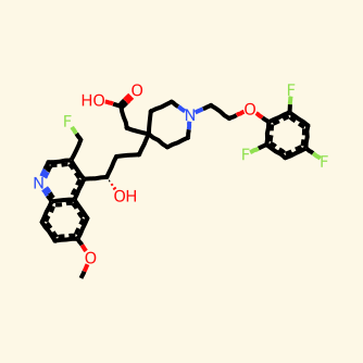 COc1ccc2ncc(CF)c([C@@H](O)CCC3(CC(=O)O)CCN(CCOc4c(F)cc(F)cc4F)CC3)c2c1